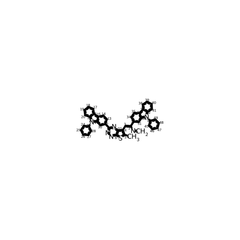 C=N/C(=C\c1c(C)sc2nnc(-c3ccc4c5ccccc5n(-c5ccccc5)c4c3)nc12)c1ccc2c3ccccc3n(-c3ccccc3)c2c1